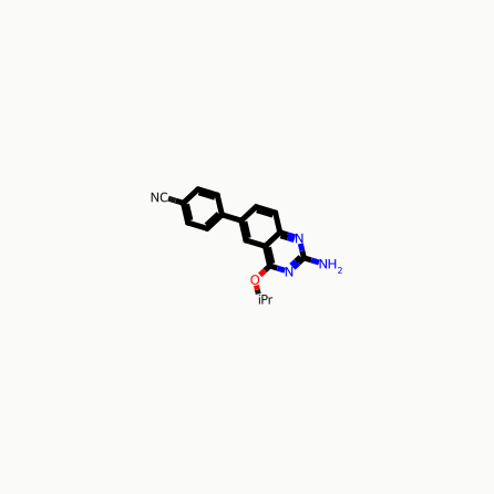 CC(C)Oc1nc(N)nc2ccc(-c3ccc(C#N)cc3)cc12